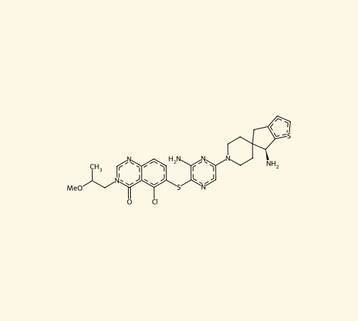 COC(C)Cn1cnc2ccc(Sc3ncc(N4CCC5(CC4)Cc4ccsc4[C@H]5N)nc3N)c(Cl)c2c1=O